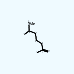 C=C(C)CCCC(C)NC